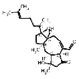 CC(C)=CCC[C@H](C)[C@@]1(O)CC[C@]2(C)C[C@H]3[C@H](C(=O)C[C@@]3(C)O)/C(C=O)=C\C[C@H]21